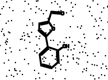 O=Cc1ccc(-c2ccccc2O)o1